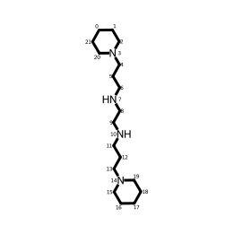 C1CCN(CCCNCCNCCCN2CCCCC2)CC1